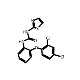 O=C(Nc1nccs1)Nc1ccccc1Oc1ccc(Cl)cc1Cl